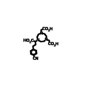 N#Cc1ccc(CCC(C(=O)O)N2CCN(CC(=O)O)CCN(CC(=O)O)CC2)cc1